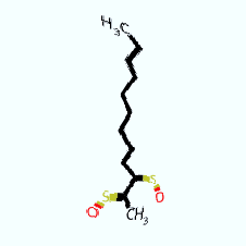 CCCCCCCCCC(=S=O)C(C)=S=O